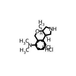 CN(C)c1cccc2c1CO[C@@]1(C)CNC[C@@H]21.Cl.Cl